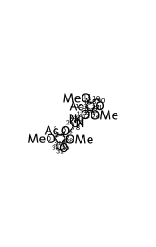 COc1c(C(C)=O)c(OCc2cnc(COc3c(C(C)=O)c(OC)c4ccoc4c3OC)nc2)c(OC)c2occc12